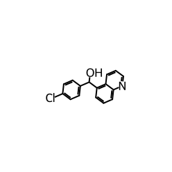 OC(c1ccc(Cl)cc1)c1cccc2ncccc12